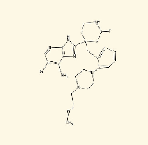 COCCN1CCN(c2ccccc2CC2(c3nc4c(N)c(Br)cnc4[nH]3)CCNC(F)C2)CC1